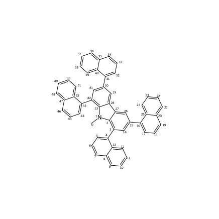 Cn1c2c(-c3cccc4ccccc34)cc(-c3cccc4ccccc34)cc2c2cc(-c3cccc4ccccc34)cc(-c3cccc4ccccc34)c21